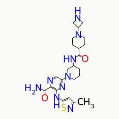 Cc1cc(Nc2nc(N3CCCC(NC(=O)C4CCN(C5CNC5)CC4)C3)cnc2C(N)=O)sn1